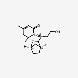 CC1=CC(=O)N(O)C(C)([C@@H]2C(NCCO)[C@H]3CC[C@@H]2C3)C1